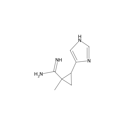 CC1(C(=N)N)CC1c1c[nH]cn1